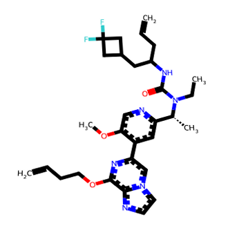 C=CCCOc1nc(-c2cc([C@@H](C)N(CC)C(=O)NC(CC=C)CC3CC(F)(F)C3)ncc2OC)cn2ccnc12